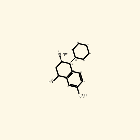 CCCCCCC[C@@H]1CC(CCC)c2cc(C(=O)O)ccc2[C@H]1C1CCCCC1